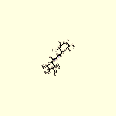 CC[C@H](OC)[C@@H](C)[C@H]1CC1[C@H](O)[C@@H](C)/C=C/C=C(\C)[C@@H]1O[C@@H](OC)[C@H](OC)[C@@H](OC)[C@@H]1OC